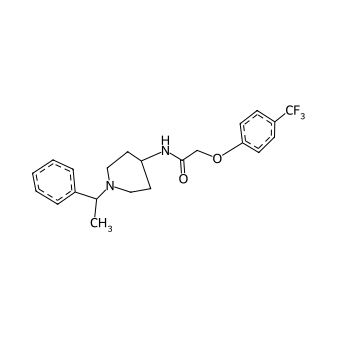 CC(c1ccccc1)N1CCC(NC(=O)COc2ccc(C(F)(F)F)cc2)CC1